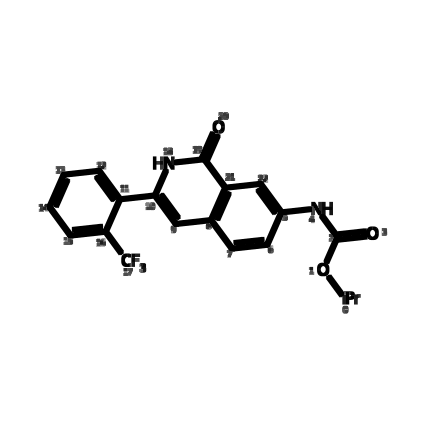 CC(C)OC(=O)Nc1ccc2cc(-c3ccccc3C(F)(F)F)[nH]c(=O)c2c1